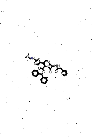 CN(C)/C=N/c1ncc(C2=C(C(=O)OC(c3ccccc3)c3ccccc3)N3C(=O)C(NC(=O)Cc4cccs4)C3SC2)s1